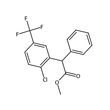 COC(=O)C(c1ccccc1)c1cc(C(F)(F)F)ccc1Cl